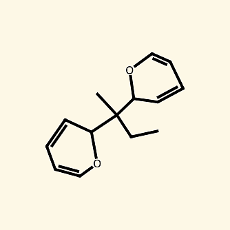 CCC(C)(C1C=CC=CO1)C1C=CC=CO1